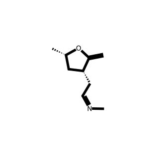 C=C1O[C@@H](C)C[C@H]1C/C=N\C